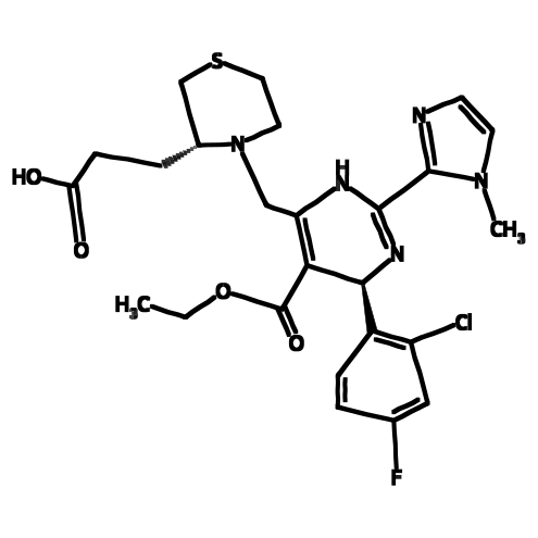 CCOC(=O)C1=C(CN2CCSC[C@H]2CCC(=O)O)NC(c2nccn2C)=N[C@H]1c1ccc(F)cc1Cl